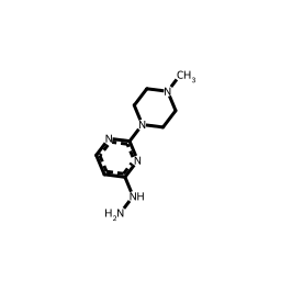 CN1CCN(c2nccc(NN)n2)CC1